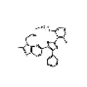 CS(=O)(=O)O.Cc1nc2ccc(-c3[nH]c(-c4c(F)cccc4F)nc3-c3ccccc3)nc2n1CC(C)(C)C